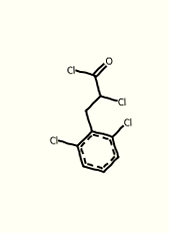 O=C(Cl)C(Cl)Cc1c(Cl)cccc1Cl